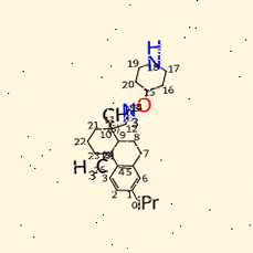 CC(C)c1ccc2c(c1)CCC1[C@@](C)(/C=N/OC3CCNCC3)CCC[C@]21C